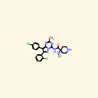 CCNC1(C(=O)Nc2nc(C)nc3c(-c4ccc(Cl)cc4)c(-c4ccccc4Cl)nn23)CCNCC1